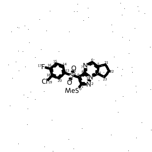 CSc1nn2c3c(cnc2c1S(=O)(=O)c1ccc(F)c(Cl)c1)CCC3